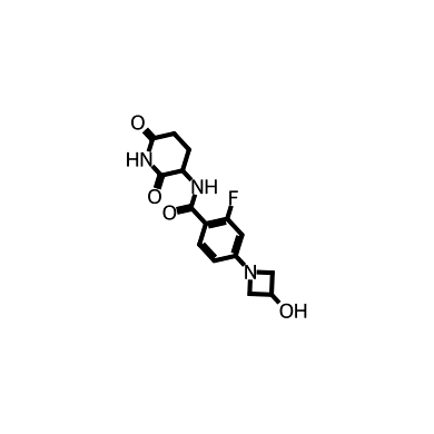 O=C1CCC(NC(=O)c2ccc(N3CC(O)C3)cc2F)C(=O)N1